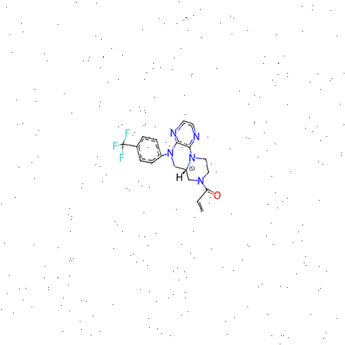 C=CC(=O)N1CCN2c3nccnc3N(c3ccc(C(F)(F)F)cc3)C[C@H]2C1